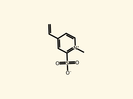 C=Cc1cc[n+](C)c(S(=O)(=O)[O-])c1